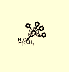 CC(C)(C)C#Cc1cn2c(n1)[C@H](OCc1ccccc1)[C@@H](OCc1ccccc1)[C@H](OCc1ccccc1)[C@H]2COCc1ccccc1